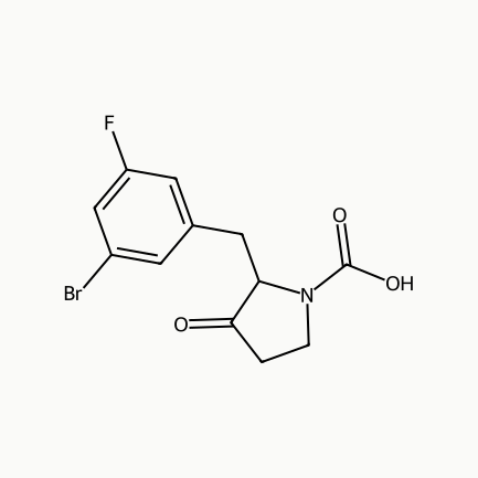 O=C1CCN(C(=O)O)C1Cc1cc(F)cc(Br)c1